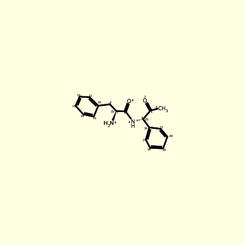 CC(=O)[C@@H](NC(=O)[C@@H](N)Cc1ccccc1)c1ccccc1